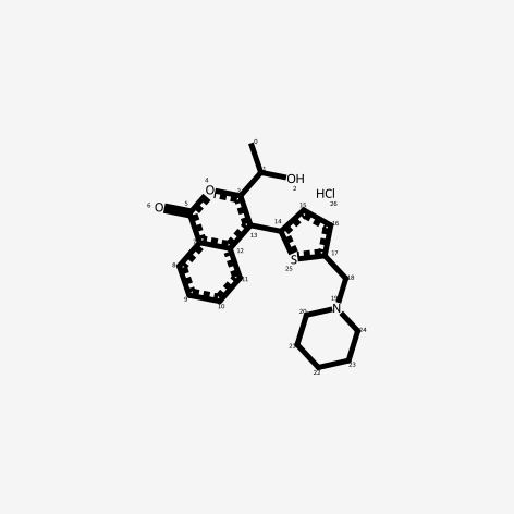 CC(O)c1oc(=O)c2ccccc2c1-c1ccc(CN2CCCCC2)s1.Cl